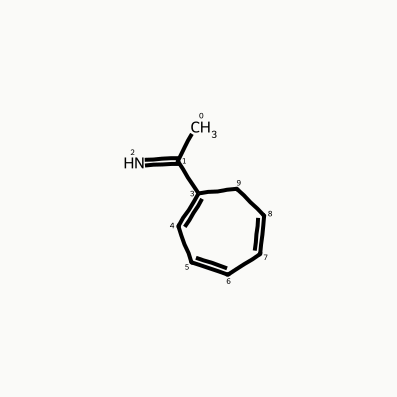 CC(=N)C1=CC=CC=CC1